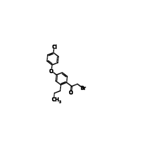 CCCc1cc(Oc2ccc(Cl)cc2)ccc1C(=O)CBr